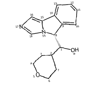 OC(C1CCOCC1)[C@H]1c2ccccc2-c2cncn21